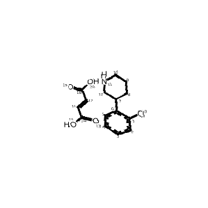 Clc1ccccc1C1CCCNC1.O=C(O)/C=C/C(=O)O